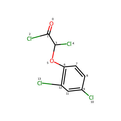 O=C(Cl)C(Cl)Oc1ccc(Cl)cc1Cl